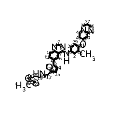 Cc1cc(Nc2ncnc3ccc(-c4ccc(CNCCS(C)(=O)=O)o4)cc23)ccc1OC1=CC2=NC=C=CN2C=C1